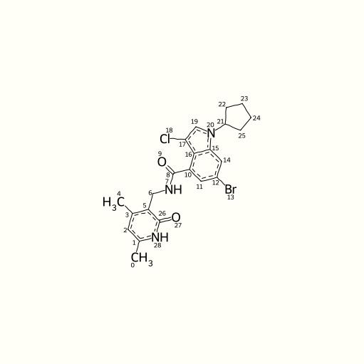 Cc1cc(C)c(CNC(=O)c2cc(Br)cc3c2c(Cl)cn3C2CCCC2)c(=O)[nH]1